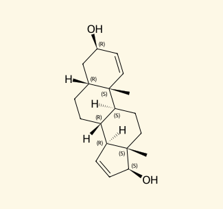 C[C@]12C=C[C@H](O)C[C@H]1CC[C@@H]1[C@@H]2CC[C@]2(C)[C@@H](O)C=C[C@@H]12